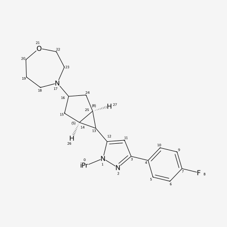 CC(C)n1nc(-c2ccc(F)cc2)cc1C1[C@H]2CC(N3CCCOCC3)C[C@@H]12